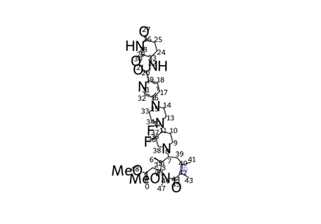 C=C(C[C@@]1(OC)[C@@H](C)C(N2CCC(N3CCN(c4ccc(C(=O)NC5CCC(=O)NC5=O)nc4)CC3)C(F)(F)C2)C/C(C)=C(/C)C(=O)N1C)OC